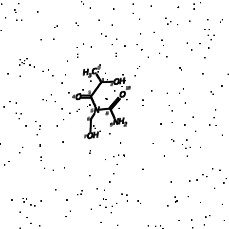 CC(O)C(=O)N(CO)C(N)=O